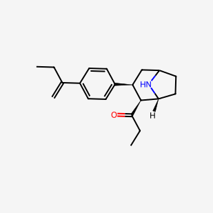 C=C(CC)c1ccc([C@H]2CC3CC[C@@H](N3)[C@H]2C(=O)CC)cc1